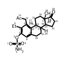 CCc1c(OS(N)(=O)=O)cc2c(c1CC(C)=O)[C@H]1CC[C@]3(C)C(=O)CC[C@H]3[C@@H]1CC2